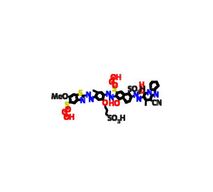 COc1cc2sc(N=Nc3cc(OCCCS(=O)(=O)O)c(N=Nc4c(SOOO)cc5c(S(=O)(=O)O)c(N=Nc6c(C)c(C#N)c7nc8ccccc8n7c6O)ccc5c4O)cc3C)nc2cc1SOOO